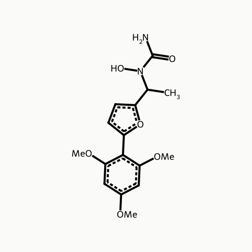 COc1cc(OC)c(-c2ccc(C(C)N(O)C(N)=O)o2)c(OC)c1